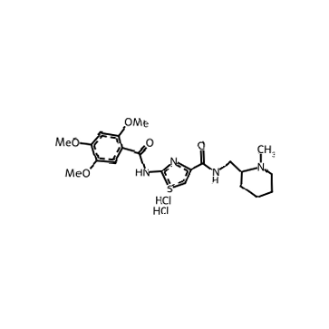 COc1cc(OC)c(C(=O)Nc2nc(C(=O)NCC3CCCCN3C)cs2)cc1OC.Cl.Cl